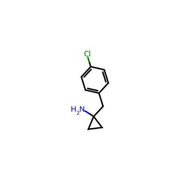 NC1(Cc2ccc(Cl)cc2)CC1